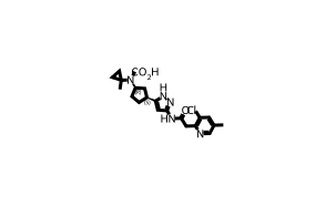 Cc1cnc(CC(=O)Nc2cc([C@H]3CC[C@@H](N(C(=O)O)C4(C)CC4)C3)[nH]n2)c(Cl)c1